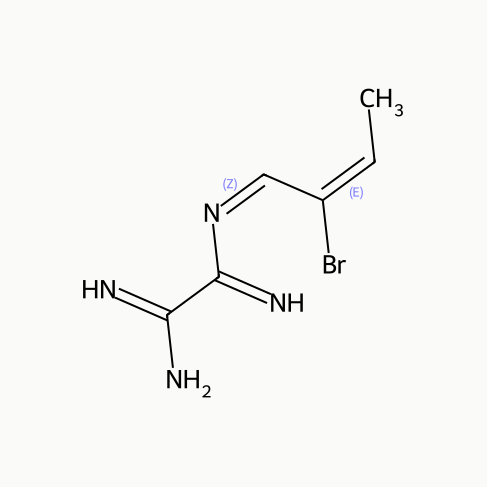 C/C=C(Br)\C=N/C(=N)C(=N)N